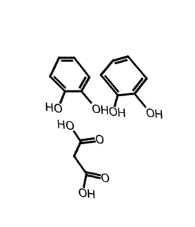 O=C(O)CC(=O)O.Oc1ccccc1O.Oc1ccccc1O